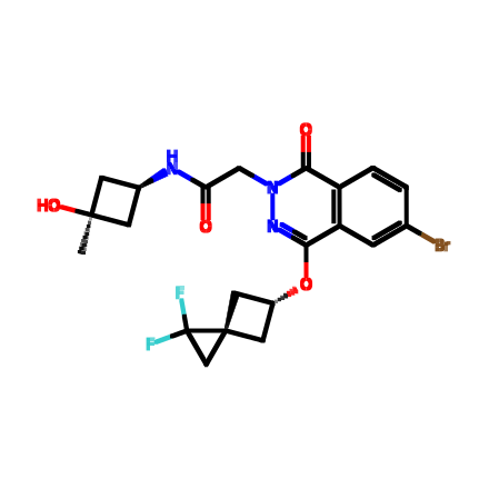 C[C@]1(O)C[C@@H](NC(=O)Cn2nc(O[C@H]3C[C@]4(CC4(F)F)C3)c3cc(Br)ccc3c2=O)C1